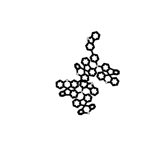 c1ccc2c(c1)Oc1ccccc1C21c2ccccc2-c2ccc(N(c3ccc(-c4ccc5oc6ccccc6c5c4)cc3)c3cccc4c3-c3ccccc3C43c4ccccc4Oc4c(-c5ccc6c(c5)Oc5ccccc5C65c6ccccc6-c6ccc(N(c7cccc8c7-c7ccccc7C87c8ccccc8Oc8ccccc87)c7cccc8oc9ccccc9c78)cc65)cccc43)cc21